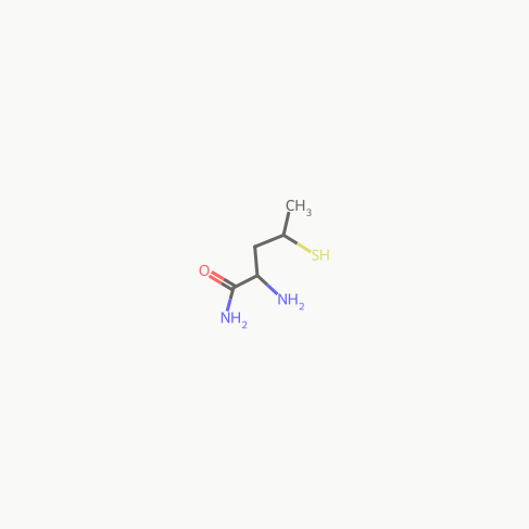 CC(S)CC(N)C(N)=O